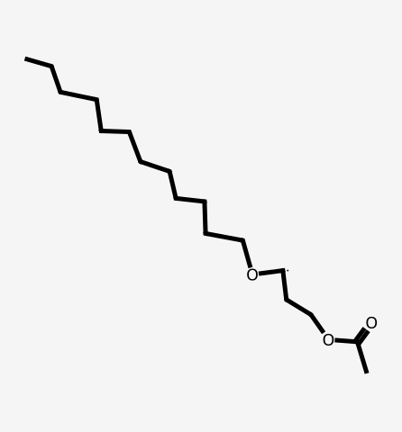 CCCCCCCCCCCCO[CH]CCOC(C)=O